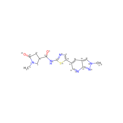 CN1CC(C(=O)Nc2ncc(-c3cnc4nn(C)cc4c3)s2)CC1=O